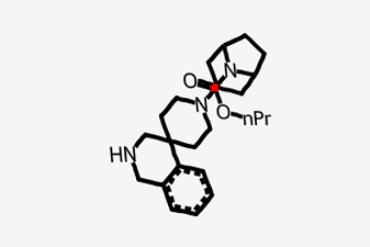 CCCOC(=O)N1C2CCC1CC(N1CCC3(CC1)CNCc1ccccc13)C2